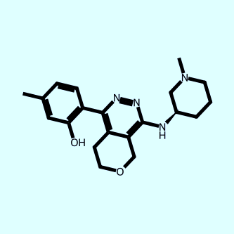 Cc1ccc(-c2nnc(N[C@@H]3CCCN(C)C3)c3c2CCOC3)c(O)c1